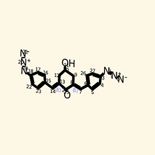 [N-]=[N+]=Nc1ccc(/C=C2\CC(O)C/C(=C\c3ccc(N=[N+]=[N-])cc3)C2=O)cc1